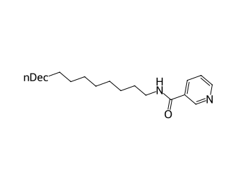 CCCCCCCCCCCCCCCCCCNC(=O)c1cccnc1